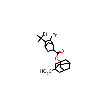 CCC(C)(C)C1C2CC(C(=O)OC34CC5CC(C3)CC(C(=O)O)(C5)C4)C(C2)C1C(C)C